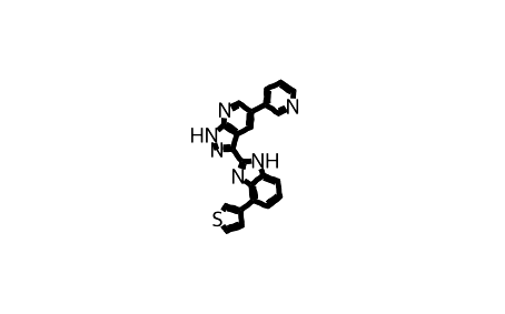 c1cncc(-c2cnc3[nH]nc(-c4nc5c(-c6ccsc6)cccc5[nH]4)c3c2)c1